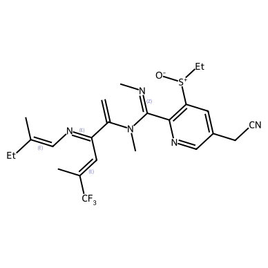 C=C(C(/C=C(\C)C(F)(F)F)=N/C=C(\C)CC)N(C)/C(=N\C)c1ncc(CC#N)cc1[S+]([O-])CC